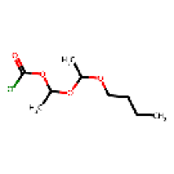 CCCCOC(C)OC(C)OC(=O)Cl